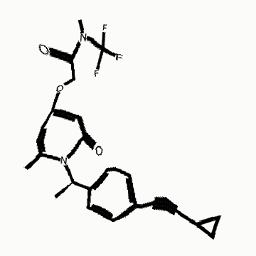 Cc1cc(OCC(=O)N(C)C(F)(F)F)cc(=O)n1[C@H](C)c1ccc(C#CC2CC2)cc1